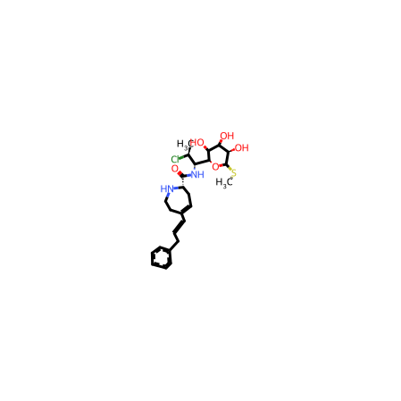 CSC1O[C@H]([C@H](NC(=O)[C@@H]2CC=C(/C=C/Cc3ccccc3)CCN2)[C@H](C)Cl)C(O)C(O)[C@H]1O